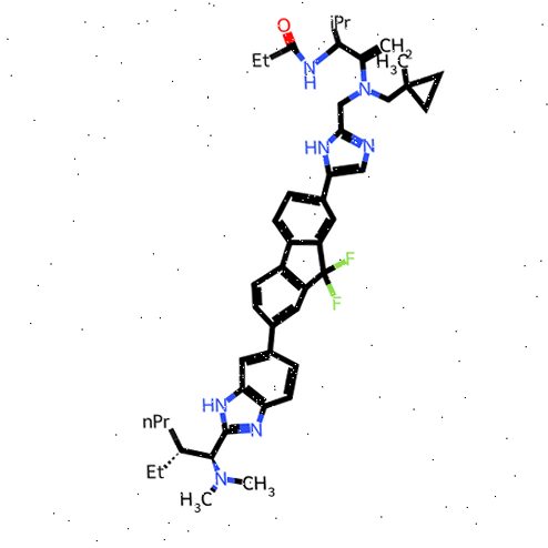 C=C(C(NC(=O)CC)C(C)C)N(Cc1ncc(-c2ccc3c(c2)C(F)(F)c2cc(-c4ccc5nc([C@H]([C@H](CC)CCC)N(C)C)[nH]c5c4)ccc2-3)[nH]1)CC1(C)CC1